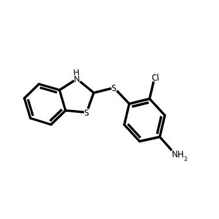 Nc1ccc(SC2Nc3ccccc3S2)c(Cl)c1